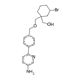 Nc1ccc(-c2ccc(COCC3(CO)CCCC(Br)C3)cc2)nc1